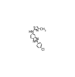 Cc1csc(Nc2ccc3nn(-c4ccc(Cl)cc4)nc3c2)n1